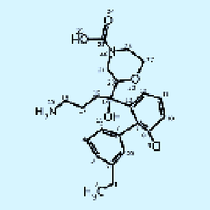 CCc1cccc(-c2c(Cl)cccc2[C@](O)(CCCN)C2CN(C(=O)O)CCO2)c1